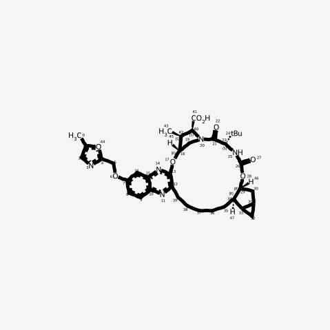 Cc1cnc(COc2ccc3nc4c(nc3c2)O[C@H]2CN(C(=O)[C@H](C(C)(C)C)NC(=O)O[C@@H]3CC5CC5[C@H]3CCCCC4)[C@H](C(=O)O)[C@@H]2C)o1